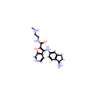 CNCCNC(=O)c1oc2cnccc2c1Nc1ccc2c(c1)CCC2=N